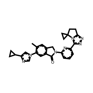 Cc1cc2c(cc1-n1cnc(C3CC3)c1)C(=O)N(c1cccc(-c3nnc4n3C3(CC4)CC3)n1)C2